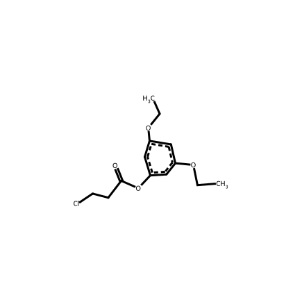 CCOc1cc(OCC)cc(OC(=O)CCCl)c1